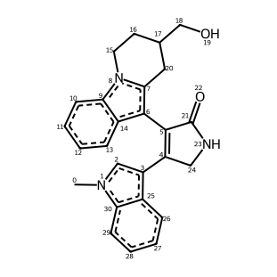 Cn1cc(C2=C(c3c4n(c5ccccc35)CCC(CO)C4)C(=O)NC2)c2ccccc21